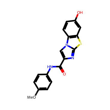 COc1ccc(NC(=O)c2cn3c(n2)sc2cc(O)ccc23)cc1